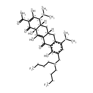 CN(C)c1cc(CN(CCCC(F)(F)F)CCCC(F)(F)F)c(O)c2c1C[C@H]1C[C@H]3[C@H](N(C)C)C(O)=C(C(N)=O)C(=O)[C@@]3(O)C(O)=C1C2=O